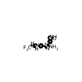 Nc1ncc(-c2ccc(N3C[C@@H]4C[C@H]3CN4CC(F)(F)F)cc2)nc1-c1ccc2c(c1)CCNC2=O